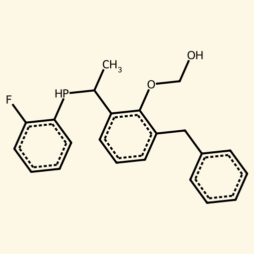 CC(Pc1ccccc1F)c1cccc(Cc2ccccc2)c1OCO